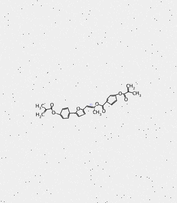 C=C(C)C(=O)Oc1ccc(C(=O)O/C(C)=C/c2ccc(-c3ccc(OC(=O)C(=C)C)cc3)o2)cc1